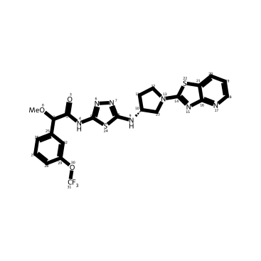 COC(C(=O)Nc1nnc(N[C@@H]2CCN(c3nc4ncccc4s3)C2)s1)c1cccc(OC(F)(F)F)c1